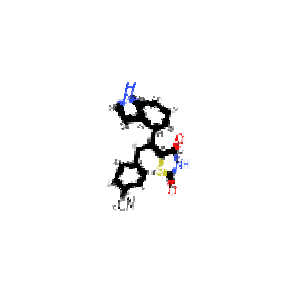 N#Cc1ccc(CC(=C2SC(=O)NC2=O)c2cccc3[nH]ccc23)cc1